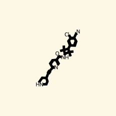 CC1(C)C(NC(=O)c2ccc(C#CC3CCNCC3)nc2)C(C)(C)C1c1ccc(C#N)c(Cl)c1